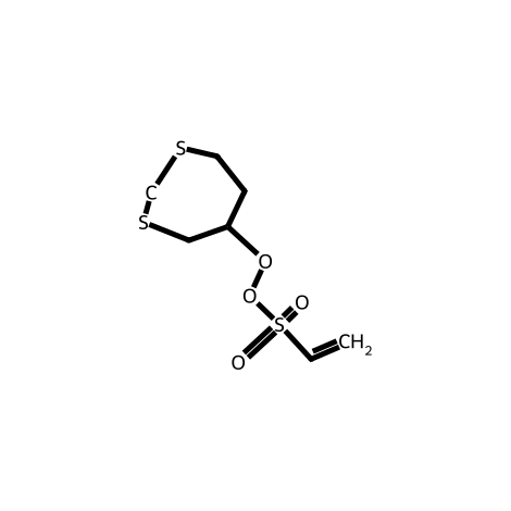 C=CS(=O)(=O)OOC1CCSCSC1